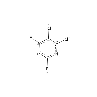 Fc1cc(F)c(Cl)c(Cl)n1